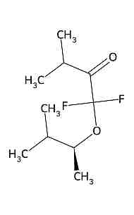 CC(C)C(=O)C(F)(F)O[C@@H](C)C(C)C